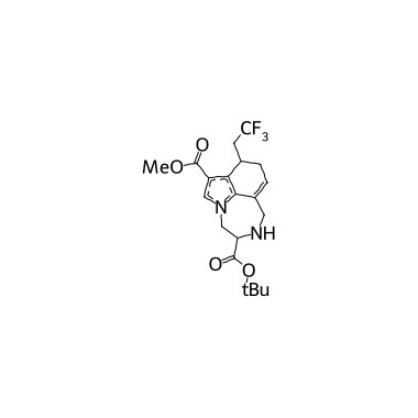 COC(=O)c1cn2c3c1C(CC(F)(F)F)CC=C3CNC(C(=O)OC(C)(C)C)C2